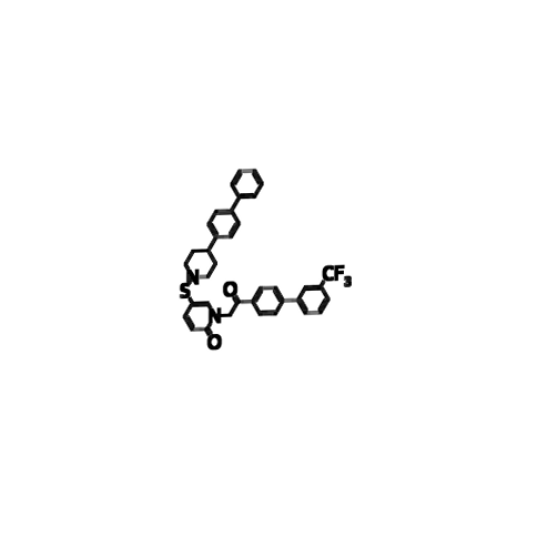 O=C(Cn1cc(SN2CCC(c3ccc(-c4ccccc4)cc3)CC2)ccc1=O)c1ccc(-c2cccc(C(F)(F)F)c2)cc1